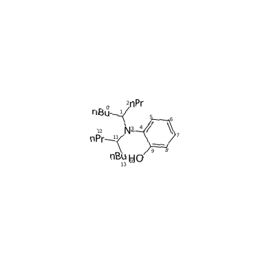 CCCCC(CCC)N(c1ccccc1O)C(CCC)CCCC